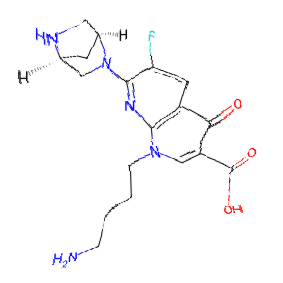 NCCCCn1cc(C(=O)O)c(=O)c2cc(F)c(N3C[C@@H]4C[C@H]3CN4)nc21